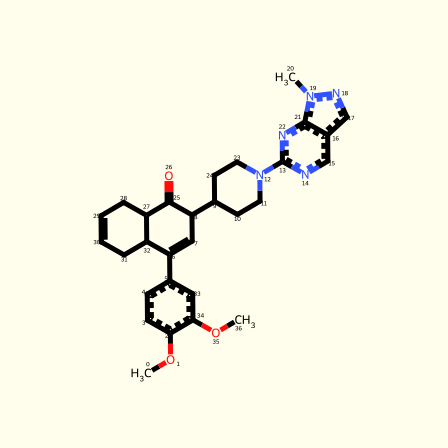 COc1ccc(C2=CC(C3CCN(c4ncc5cnn(C)c5n4)CC3)C(=O)C3CC=CCC23)cc1OC